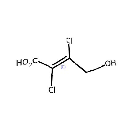 O=C(O)/C(Cl)=C(\Cl)CO